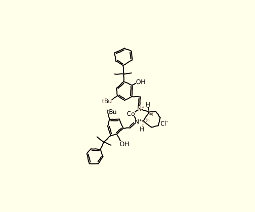 CC(C)(C)c1cc(C=[N+]2[Co][N+](=Cc3cc(C(C)(C)C)cc(C(C)(C)c4ccccc4)c3O)[C@@H]3CCCC[C@H]32)c(O)c(C(C)(C)c2ccccc2)c1.[Cl-]